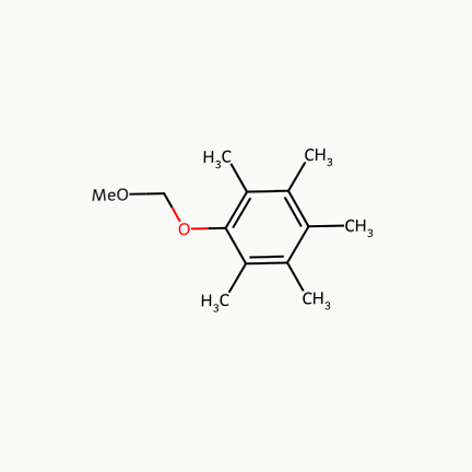 COCOc1c(C)c(C)c(C)c(C)c1C